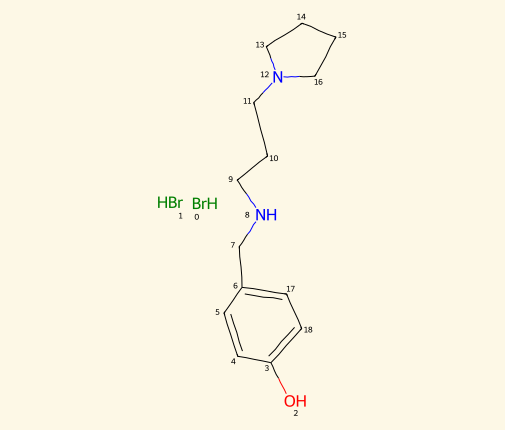 Br.Br.Oc1ccc(CNCCCN2CCCC2)cc1